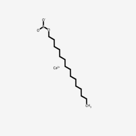 CCCCCCCCCCCCCCCOB([O-])[O-].[Ca+2]